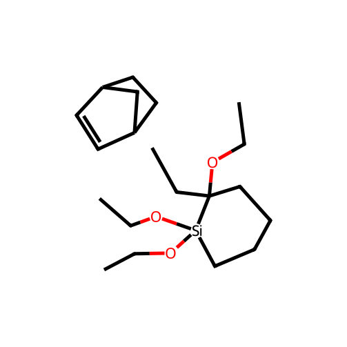 C1=CC2CCC1C2.CCOC1(CC)CCCC[Si]1(OCC)OCC